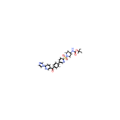 CC(C)(C)OC(=O)NC1CCN(S(=O)(=O)c2ccc(-c3ccc(C(=O)c4ccc(-n5ccnc5)nc4)cc3)cn2)CC1